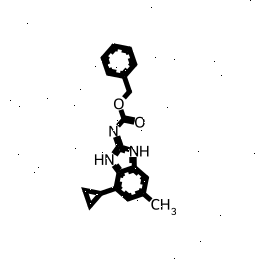 Cc1cc(C2CC2)c2[nH]/c(=N/C(=O)OCc3ccccc3)[nH]c2c1